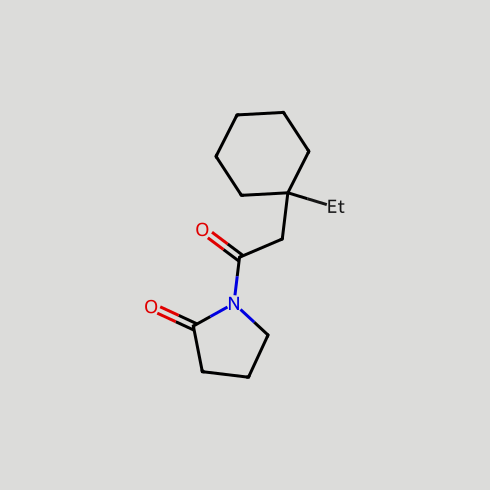 CCC1(CC(=O)N2CCCC2=O)CCCCC1